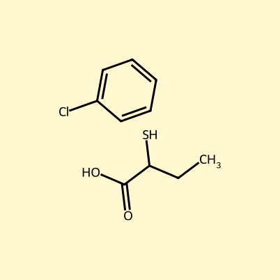 CCC(S)C(=O)O.Clc1ccccc1